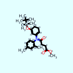 COC(=O)CCC(=O)N(C1=CCCC(O[Si](C)(C)C(C)(C)C)=C1)c1ccc(C)cc1C